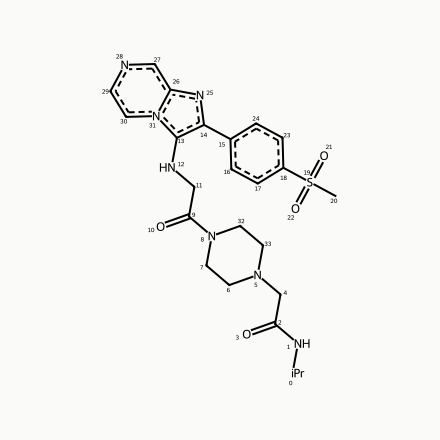 CC(C)NC(=O)CN1CCN(C(=O)CNc2c(-c3ccc(S(C)(=O)=O)cc3)nc3cnccn23)CC1